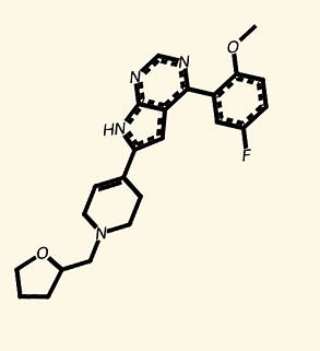 COc1ccc(F)cc1-c1ncnc2[nH]c(C3=CCN(CC4CCCO4)CC3)cc12